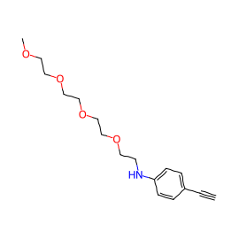 C#Cc1ccc(NCCOCCOCCOCCOC)cc1